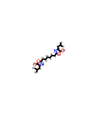 CC(C)CC1N=C(CCCCCCC2=NC(CC(C)C)C(=O)O2)OC1=O